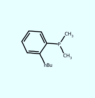 CCCCc1ccccc1P(C)C